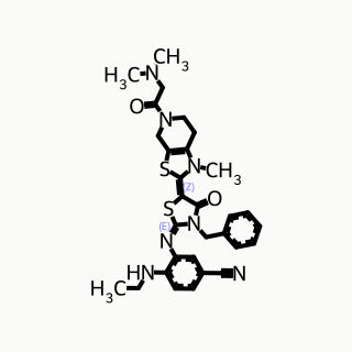 CCNc1ccc(C#N)cc1/N=C1/S/C(=C2\SC3=C(CCN(C(=O)CN(C)C)C3)N2C)C(=O)N1Cc1ccccc1